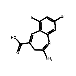 NC1=Nc2cc(Br)cc(I)c2C=C(C(=O)O)C1